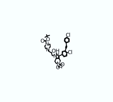 CC(C)(C)OC(=O)N1CCN(CC(O)Cn2nc(-c3ccc(Cl)c(C#Cc4ccc(Cl)cc4)c3)c3c2CCN(S(C)(=O)=O)C3)CC1